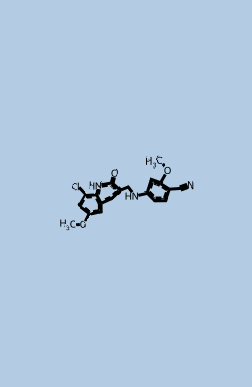 COc1cc(Cl)c2[nH]c(=O)c(CNc3ccc(C#N)c(OC)c3)cc2c1